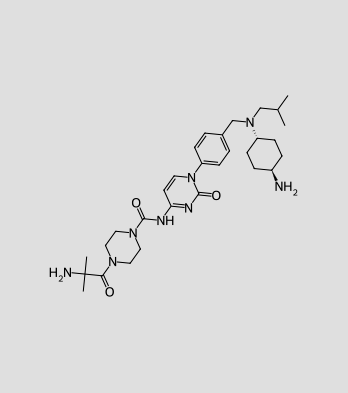 CC(C)CN(Cc1ccc(-n2ccc(NC(=O)N3CCN(C(=O)C(C)(C)N)CC3)nc2=O)cc1)[C@H]1CC[C@H](N)CC1